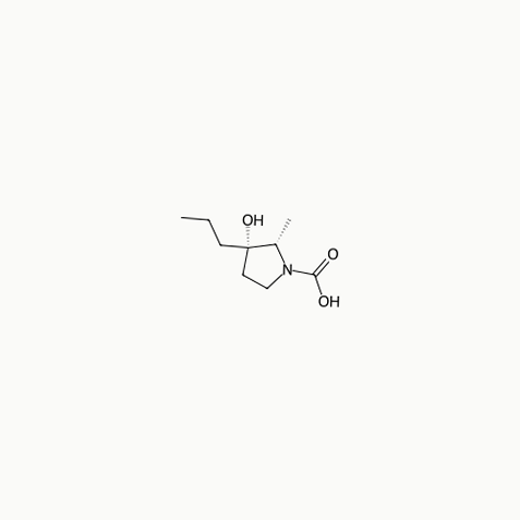 CCC[C@]1(O)CCN(C(=O)O)[C@H]1C